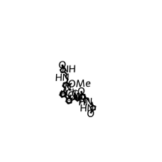 COc1nc(-c2cccc(-c3cccc(-c4cc5nc(CNCC6CCC(=O)N6)cc(=O)n5n4C)c3Cl)c2Cl)ccc1CNCC1CCC(=O)N1